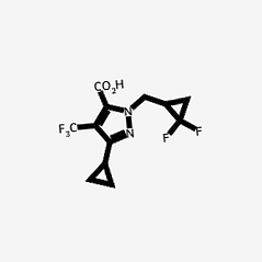 O=C(O)c1c(C(F)(F)F)c(C2CC2)nn1CC1CC1(F)F